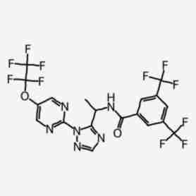 CC(NC(=O)c1cc(C(F)(F)F)cc(C(F)(F)F)c1)c1ncnn1-c1ncc(OC(F)(F)C(F)(F)F)cn1